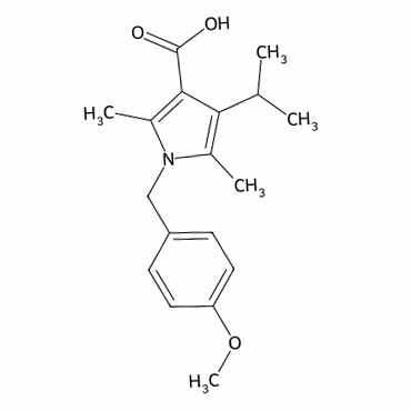 COc1ccc(Cn2c(C)c(C(=O)O)c(C(C)C)c2C)cc1